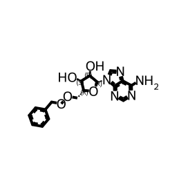 Nc1ncnc2c1ncn2[C@@H]1O[C@H](COOCc2ccccc2)[C@@H](O)[C@H]1O